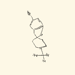 [2H]C([2H])([2H])N1CCC2(CC1)Cc1cc(Br)ccc1O2